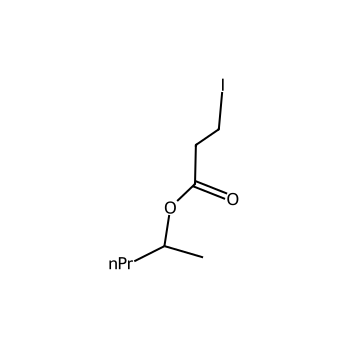 CCCC(C)OC(=O)CCI